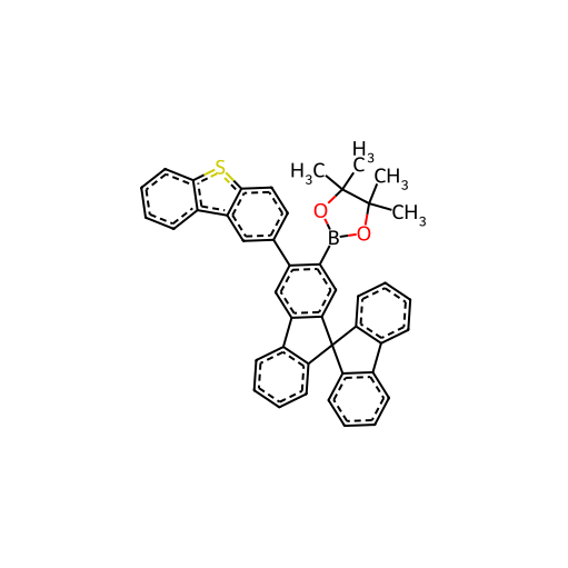 CC1(C)OB(c2cc3c(cc2-c2ccc4sc5ccccc5c4c2)-c2ccccc2C32c3ccccc3-c3ccccc32)OC1(C)C